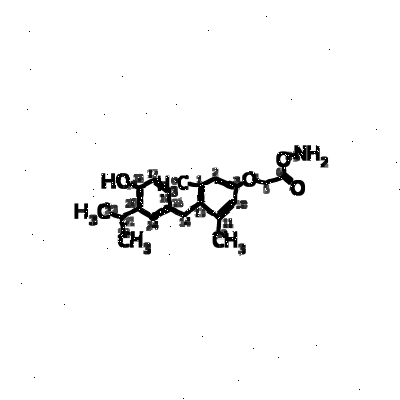 Cc1cc(OCC(=O)ON)cc(C)c1Cc1ccc(O)c(C(C)C)c1